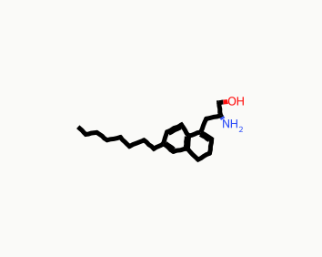 CCCCCCCCc1ccc2c(c1)CCC=C2CC(N)CO